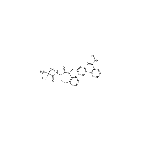 CCNC(=O)c1ccccc1-c1ccc(CN2C(=O)C(NC(=O)C(C)(C)N)CCc3cccnc32)cc1